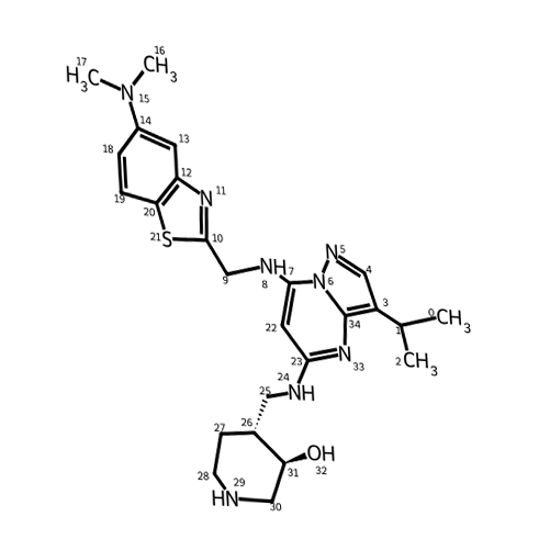 CC(C)c1cnn2c(NCc3nc4cc(N(C)C)ccc4s3)cc(NC[C@H]3CCNC[C@@H]3O)nc12